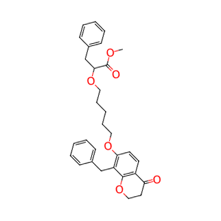 COC(=O)C(Cc1ccccc1)OCCCCCOc1ccc2c(c1Cc1ccccc1)OCCC2=O